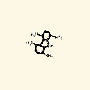 Nc1ccc(N)c2c1[nH]c1c(N)ccc(N)c12